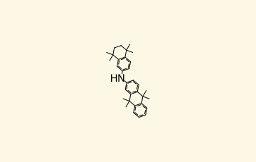 CC1(C)CCC(C)(C)c2cc(Nc3ccc4c(c3)C(C)(C)c3ccccc3C4(C)C)ccc21